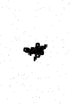 Cc1cnc(CNC(=O)[C@@H]2C[C@@H](F)CN2S(=O)(=O)c2ccc(F)cc2)cc1N1C2CCC1CC(C(F)(F)F)C2